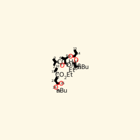 C=C(C)C(=O)O.C=C(C)C(=O)OC.C=CC(=O)OCC.C=CC(=O)OCC(CC)CCCC.C=CC(=O)OCCCC